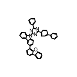 c1ccc(-c2ccc(-c3nc(-c4ccccc4)nc(-n4c5ccccc5c5cc(-c6cccc7c6oc6ccccc67)ccc54)n3)cc2)cc1